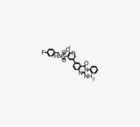 COc1ncc(-c2ccc3nc(N)n(-c4ccccc4)c(=O)c3c2)cc1S(=O)(=O)NCc1ccc(F)cc1